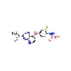 CN(C)c1cnc2c(Oc3ccc(NC(=O)O)c(F)c3)ccnc2n1